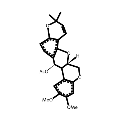 COc1cc2c(cc1OC)C1[C@H](OC(C)=O)c3ccc4c(c3O[C@@H]1CO2)C=CC(C)(C)O4